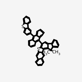 CC1(C)c2ccccc2-c2cc(-c3c4ccccc4c(-c4ccc5sc6ccccc6c5c4)c4ccccc34)c3sc4cc5ccccc5cc4c3c21